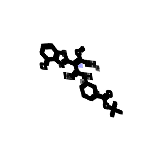 CO/C(N)=C(/C(=N)N[C@@H]1CCCN(C(=O)OC(C)(C)C)C1)c1nc2c(s1)C=CCC2Cl